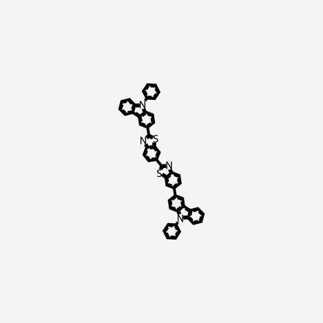 c1ccc(-n2c3ccccc3c3cc(-c4ccc5nc(-c6ccc7nc(-c8ccc9c(c8)c8ccccc8n9-c8ccccc8)sc7c6)sc5c4)ccc32)cc1